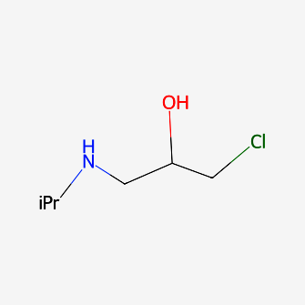 CC(C)NCC(O)CCl